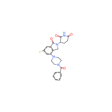 O=C1CCC(N2Cc3c(cc(F)cc3N3CCN(C(=O)c4ccccc4)CC3)C2=O)C(=O)N1